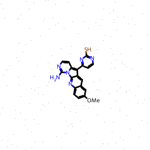 COc1ccc2nc3c(cc2c1)c(-c1ccnc(S)n1)c1ccnc(N)n13